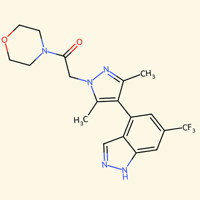 Cc1nn(CC(=O)N2CCOCC2)c(C)c1-c1cc(C(F)(F)F)cc2[nH]ncc12